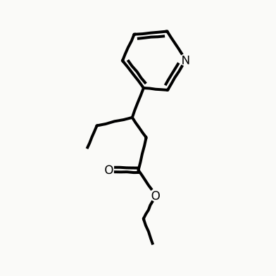 CCOC(=O)CC(CC)c1cccnc1